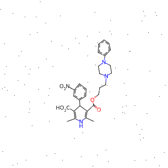 CC1=C(C(=O)O)C(c2cccc([N+](=O)[O-])c2)C(C(=O)OCCCN2CCN(c3ccccc3)CC2)=C(C)N1